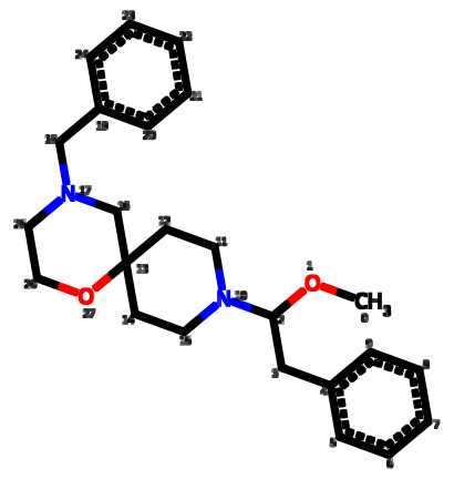 COC(Cc1ccccc1)N1CCC2(CC1)CN(Cc1ccccc1)CCO2